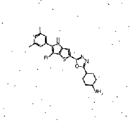 Cc1cc(-c2[nH]c3cc(-c4nnc(C5CCC(N)CC5)o4)sc3c2C(C)C)cc(C)n1